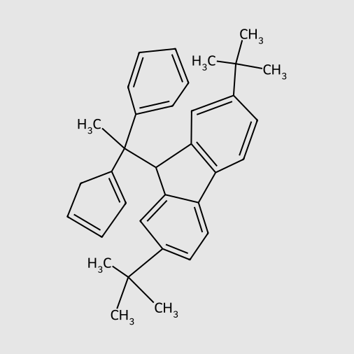 CC(C)(C)c1ccc2c(c1)C(C(C)(C1=CC=CC1)c1ccccc1)c1cc(C(C)(C)C)ccc1-2